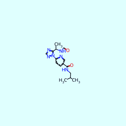 CC(C)CNC(=O)c1ccc(-n2ncnc2C(C)NC=O)nc1